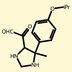 CC(C)Oc1ccc(C2(C)NCNC2C(=O)C=O)cc1